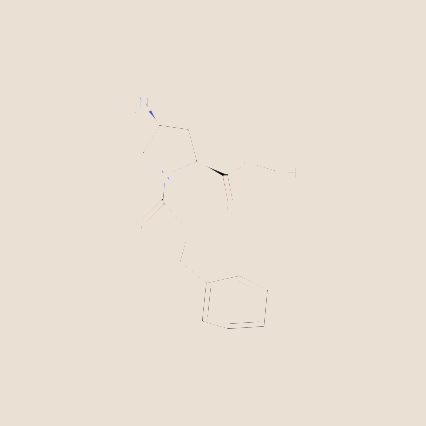 COC(=O)[C@@H]1C[C@H](N)CN1C(=O)OCc1ccccc1